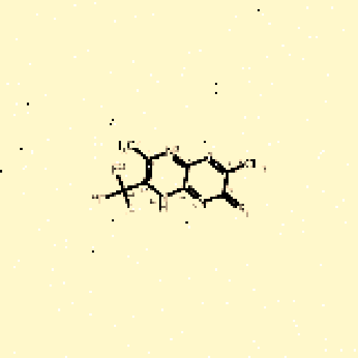 Cc1nc2cc(C)c(=S)nc-2[nH]c1C(F)(F)F